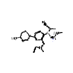 C=CN(C)Cc1cc(N2CCC(O)CC2)ccc1N(/C=N\NC)C(C)C#N